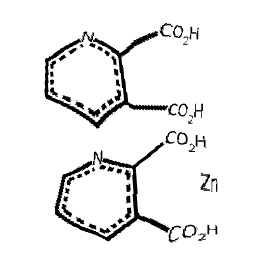 O=C(O)c1cccnc1C(=O)O.O=C(O)c1cccnc1C(=O)O.[Zn]